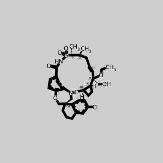 CCO[C@]1(CO)/C=C/C[C@H](C)[C@@H](C)S(=O)(=O)NC(=O)c2ccc3c(c2)N(C[C@@H]2CC[C@H]21)C[C@@]1(CCCc2cc(Cl)ccc21)CO3